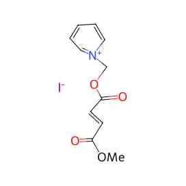 COC(=O)C=CC(=O)OC[n+]1ccccc1.[I-]